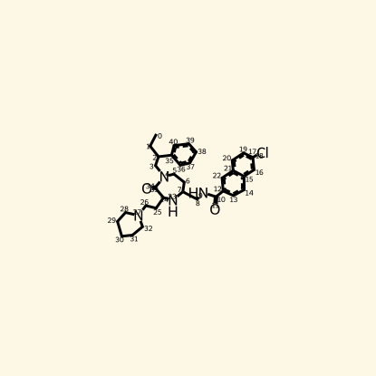 CCC(CN1CCC(CNC(=O)c2ccc3cc(Cl)ccc3c2)NC(CCN2CCCCC2)C1=O)c1ccccc1